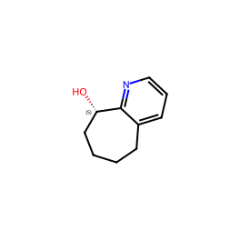 O[C@H]1CCCCc2cccnc21